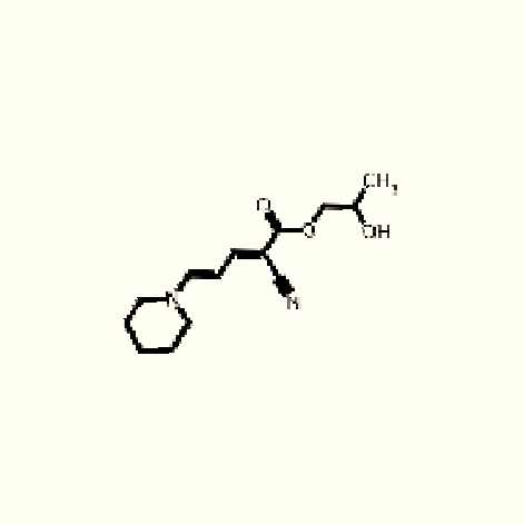 CC(O)COC(=O)/C(C#N)=C/C=C/N1CCCCC1